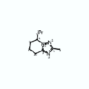 Cc1nc2n(n1)C(C(C)C)CCC2